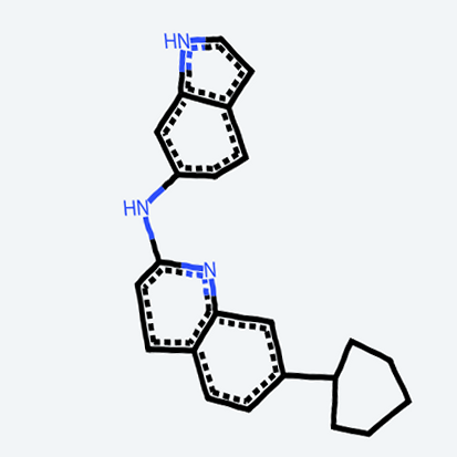 c1cc2ccc(Nc3ccc4ccc(C5CCCCC5)cc4n3)cc2[nH]1